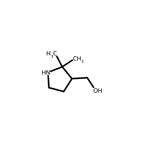 CC1(C)NCCC1CO